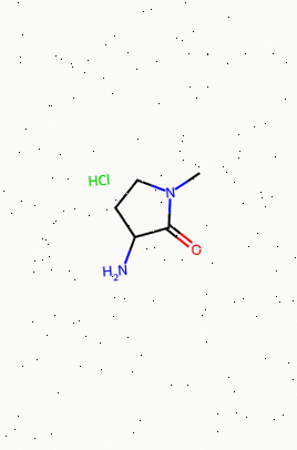 CN1CCC(N)C1=O.Cl